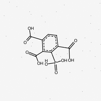 O=C(O)c1ccc(C(=O)O)c(P(=O)(O)O)c1C(=O)O